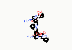 NC(=O)[C@@]1(c2ccc(CN(Cc3ccc([C@]4(C(N)=O)CCCN4C(=O)[C@H](Cc4ccccc4)NC(=O)O)cc3)c3ccccc3)cc2)CCCN1C(=O)[C@H](Cc1ccccc1)NC(=O)O